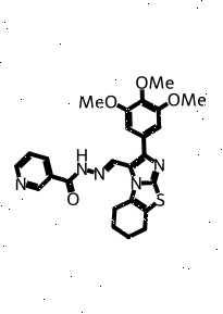 COc1cc(-c2nc3sc4c(n3c2C=NNC(=O)c2cccnc2)CCCC4)cc(OC)c1OC